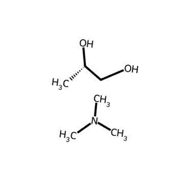 CN(C)C.C[C@H](O)CO